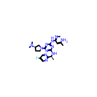 C/N=C(\C=C(\C)N)Nc1nc(N[C@@H](C)c2ncc(F)cn2)nc(N2CC[C@@H](N(C)C)C2)n1